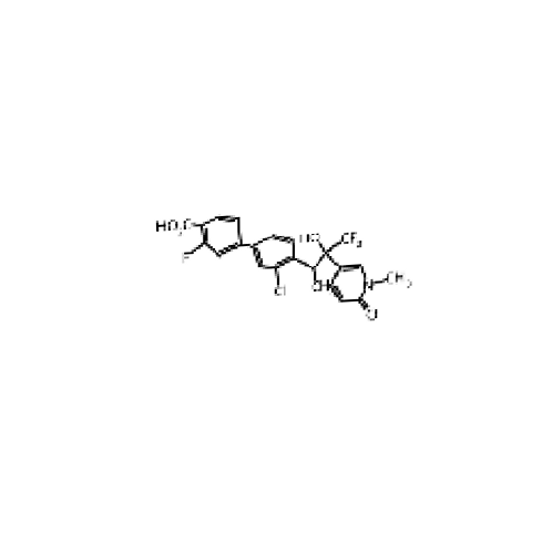 CC(c1ccc(-c2ccc(C(=O)O)c(F)c2)cc1Cl)C(O)(c1ccc(=O)n(C)c1)C(F)(F)F